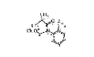 Cc1ccccc1N(COCC(C)C)C(=O)C(C)Cl